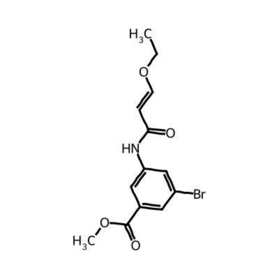 CCOC=CC(=O)Nc1cc(Br)cc(C(=O)OC)c1